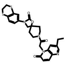 CCc1cnc2ccc(=O)n(CC(=O)N3CCC4(CC3)CN(c3ccc5c(c3)SCCS5)C(=O)O4)c2c1